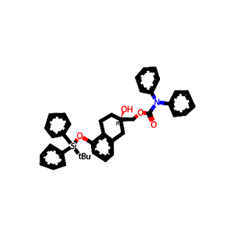 CC(C)(C)[Si](Oc1cccc2c1CC[C@@](O)(COC(=O)N(c1ccccc1)c1ccccc1)C2)(c1ccccc1)c1ccccc1